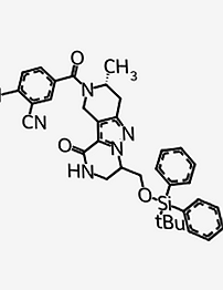 C[C@@H]1Cc2nn3c(c2CN1C(=O)c1ccc(Cl)c(C#N)c1)C(=O)NCC3CO[Si](c1ccccc1)(c1ccccc1)C(C)(C)C